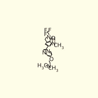 CNc1cc(-c2cnc3cc(OCCN(C)C)ccn23)cc2c1C(=O)N(CC(F)(F)F)CC2